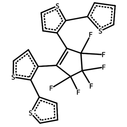 FC1(F)C(c2ccsc2-c2cccs2)=C(c2ccsc2-c2cccs2)C(F)(F)C1(F)F